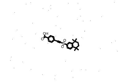 CC1(C)CCC(C)(C)c2cc(S(=O)(=O)C#Cc3ccc(C(=O)O)cc3)ccc21